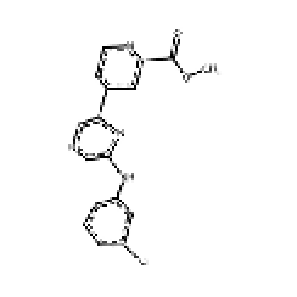 COC(=O)c1cc(-c2cncc(Nc3cccc(Cl)c3)n2)ccn1